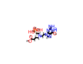 COC(=O)CCCN(CCn1cnc2c(=O)[nH]c(N)nc21)CCP(=O)(O)O